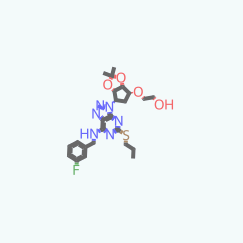 CCCSc1nc(NCc2cccc(F)c2)c2nnn([C@@H]3C[C@@H](OCCO)C4OC(C)(C)OC43)c2n1